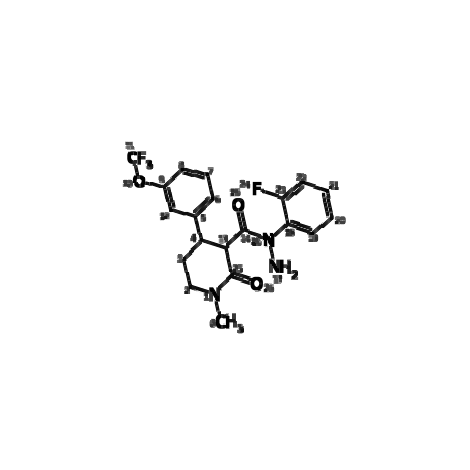 CN1CCC(c2cccc(OC(F)(F)F)c2)C(C(=O)N(N)c2ccccc2F)C1=O